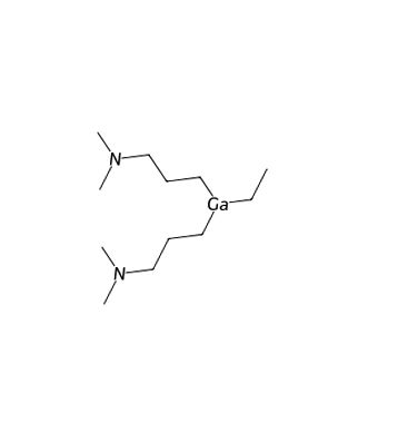 C[CH2][Ga]([CH2]CCN(C)C)[CH2]CCN(C)C